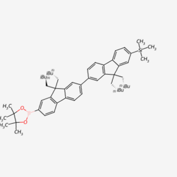 CC[C@H](C)CC1(C[C@@H](C)CC)c2cc(B3OC(C)(C)C(C)(C)O3)ccc2-c2ccc(-c3ccc4c(c3)C(C[C@@H](C)CC)(C[C@@H](C)CC)c3cc([Si](C)(C)C)ccc3-4)cc21